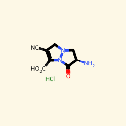 Cl.N#CC1=C(C(=O)O)N2C(=O)[C@H](N)CN2C1